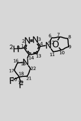 [2H]c1nnc(N2CC3CCC(C2)O3)cc1N1CCC(F)(F)CC1